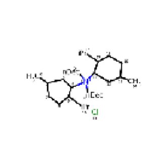 CCCCCCCCCC[N+](CCCCCCCCCC)(C1CC(C)CCC1C(C)C)C1CC(C)CCC1C(C)C.[Cl-]